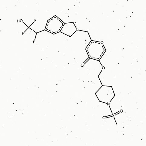 CS(=O)(=O)N1CCC(COc2coc(CN3Cc4ccc(C(F)C(O)(F)F)cc4C3)cc2=O)CC1